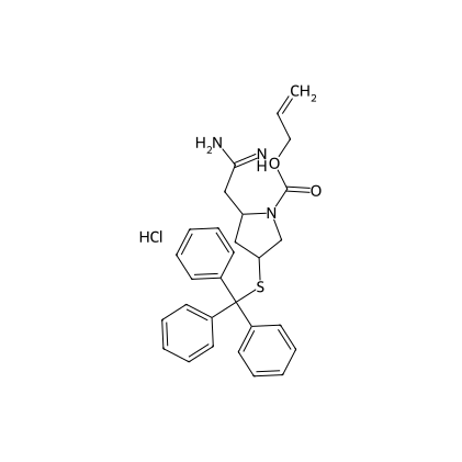 C=CCOC(=O)N1CC(SC(c2ccccc2)(c2ccccc2)c2ccccc2)CC1CC(=N)N.Cl